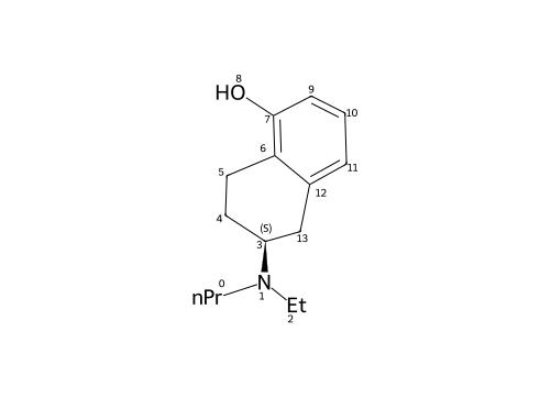 CCCN(CC)[C@H]1CCc2c(O)cccc2C1